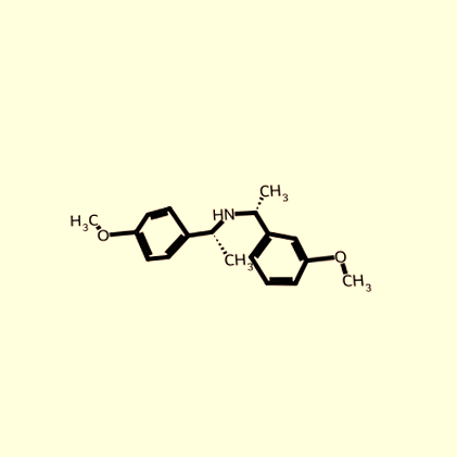 COc1ccc([C@@H](C)N[C@H](C)c2cccc(OC)c2)cc1